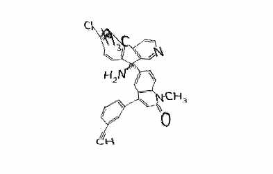 C#Cc1cccc(-c2cc(=O)n(C)c3ccc([C@](N)(c4ccc(Cl)cc4)c4cnccc4C)cc23)c1